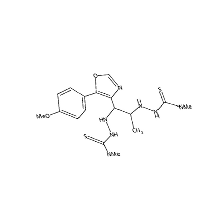 CNC(=S)NNC(C)C(NNC(=S)NC)c1ncoc1-c1ccc(OC)cc1